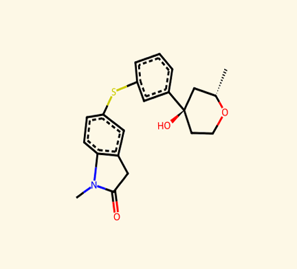 C[C@H]1C[C@@](O)(c2cccc(Sc3ccc4c(c3)CC(=O)N4C)c2)CCO1